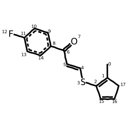 CC1=C(S/C=C/C(=O)c2ccc(F)cc2)C=CC1